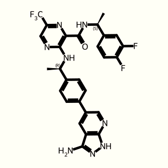 C[C@H](NC(=O)c1nc(C(F)(F)F)cnc1N[C@H](C)c1ccc(-c2cnc3[nH]nc(N)c3c2)cc1)c1ccc(F)c(F)c1